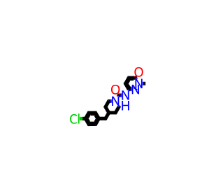 Cn1nc(NC(=O)N2CCC(Cc3ccc(Cl)cc3)CC2)ccc1=O